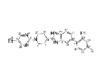 CCc1cnc(N2CCC(c3nc4cc(-c5ccc(C)cc5F)ccc4[nH]3)CC2)nc1